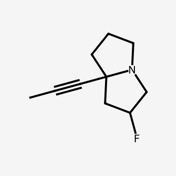 CC#CC12CCCN1CC(F)C2